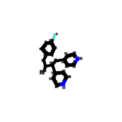 [CH2]CC(Cc1ccc(F)cc1)C(Cc1ccncc1)c1ccncc1